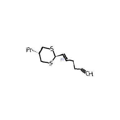 C#CCC/C=C/[C@H]1SC[C@H](C(C)C)CS1